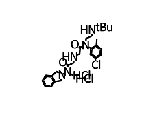 Cc1ccc(Cl)cc1N(CCNC(C)(C)C)C(=O)CNCC(=O)N(C)N1Cc2ccccc2C1.Cl.Cl